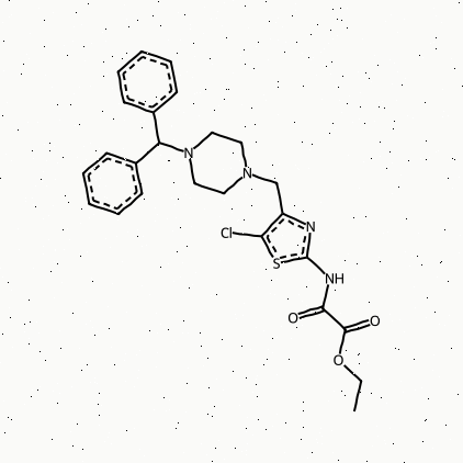 CCOC(=O)C(=O)Nc1nc(CN2CCN(C(c3ccccc3)c3ccccc3)CC2)c(Cl)s1